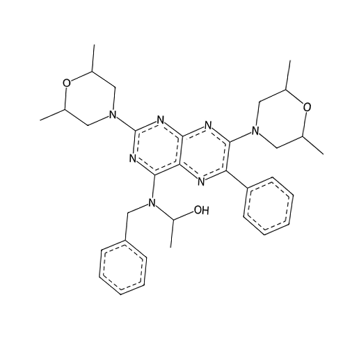 CC1CN(c2nc(N(Cc3ccccc3)C(C)O)c3nc(-c4ccccc4)c(N4CC(C)OC(C)C4)nc3n2)CC(C)O1